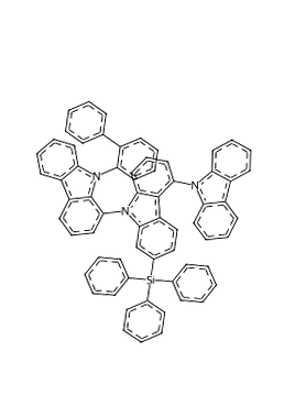 c1ccc(-c2ccccc2-n2c3ccccc3c3cccc(-n4c5cc([Si](c6ccccc6)(c6ccccc6)c6ccccc6)ccc5c5c(-n6c7ccccc7c7ccccc76)cccc54)c32)cc1